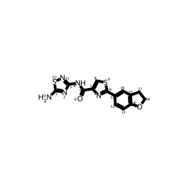 Nc1nc(NC(=O)c2csc(-c3ccc4c(c3)CCO4)n2)ns1